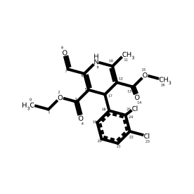 CCOC(=O)C1=C(C=O)NC(C)=C(C(=O)OC)C1c1cccc(Cl)c1Cl